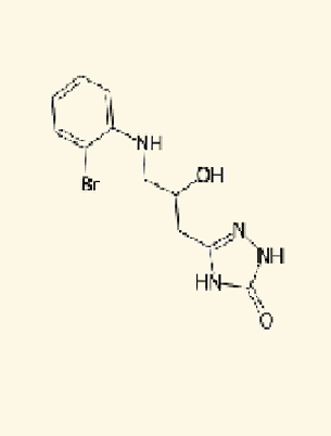 O=c1[nH]nc(CC(O)CNc2ccccc2Br)[nH]1